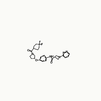 O=C(Nc1ccc(O[C@@H]2CCN(C(=O)C3CCC(F)(F)CC3)C2)cc1)C1CN(c2cccnn2)C1